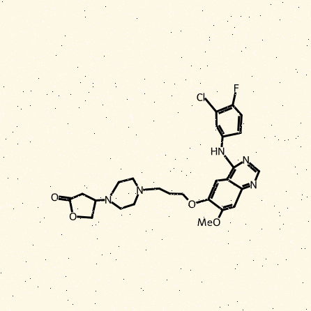 COc1cc2ncnc(Nc3ccc(F)c(Cl)c3)c2cc1OCCCN1CCN(C2COC(=O)C2)CC1